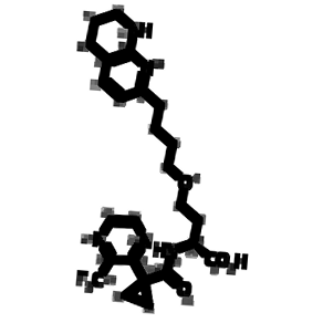 O=C(O)[C@H](CCOCCCCc1ccc2c(n1)NCCC2)NC(=O)C1(c2nccnc2C(F)(F)F)CC1